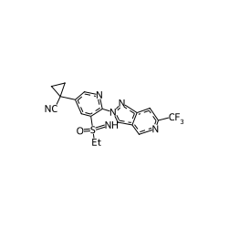 CCS(=N)(=O)c1cc(C2(C#N)CC2)cnc1-n1cc2cnc(C(F)(F)F)cc2n1